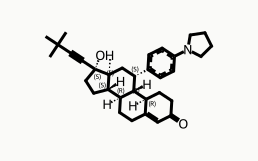 CC(C)(C)C#C[C@]1(O)CC[C@H]2[C@@H]3CCC4=CC(=O)CC[C@@H]4[C@H]3[C@@H](c3ccc(N4CCCC4)cc3)C[C@@]21C